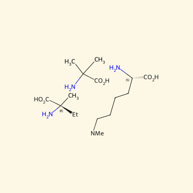 CC(C)(N)C(=O)O.CC[C@@](C)(N)C(=O)O.CNCCCC[C@H](N)C(=O)O